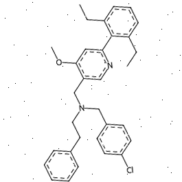 CCc1cccc(CC)c1-c1cc(OC)c(CN(CCc2ccccc2)Cc2ccc(Cl)cc2)cn1